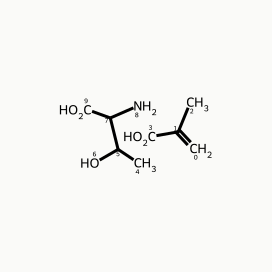 C=C(C)C(=O)O.CC(O)C(N)C(=O)O